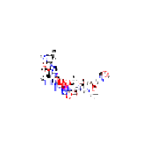 CCCC(=O)N(C)[C@H](CSCCN1CCOCC1)C(=O)N(C)[C@@H](CC(C)(C)O)C(=O)NC(=O)N(C)C(=O)NC(=O)N[C@@H](C)C(=O)N(C)[C@@H](CC(C)C)C(=O)N(C)C(CC(C)C)C(=O)NC